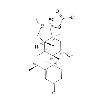 CCC(=O)O[C@]1(C(C)=O)[C@@H](C)C[C@H]2[C@@H]3C[C@H](C)C4=CC(=O)C=C[C@]4(C)[C@H]3[C@@H](O)C[C@@]21C